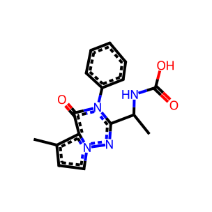 Cc1ccn2nc(C(C)NC(=O)O)n(-c3ccccc3)c(=O)c12